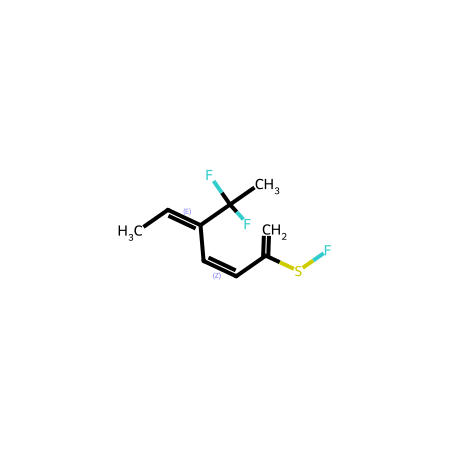 C=C(/C=C\C(=C/C)C(C)(F)F)SF